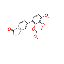 COCOc1c(-c2ccc3c(c2)CCC3=O)ccc(OC)c1OC